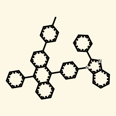 Cc1ccc(-c2ccc3c(-c4ccccc4)c4ccccc4c(-c4ccc(-n5c(-c6ccccc6)nc6ccccc65)cc4)c3c2)cc1